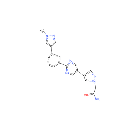 Cn1cc(-c2cccc(-c3ncc(-c4cnn(CC(N)=O)c4)cn3)c2)cn1